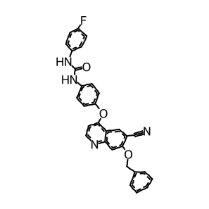 N#Cc1cc2c(Oc3ccc(NC(=O)Nc4ccc(F)cc4)cc3)ccnc2cc1OCc1ccccc1